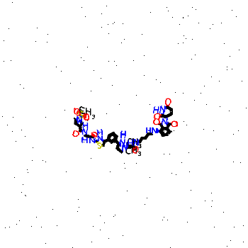 CC(C)(C(=O)NCCCCCNc1cccc2c1C(=O)N(C1CCC(=O)NC1=O)C2=O)N1CCC(c2cccc(C3CSC(NC(=O)CNC(=O)C4CCN(S(C)(=O)=O)C4)N3)c2)N1